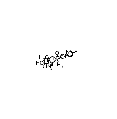 C[C@H]1CN(C(=O)C2(C)CN(c3ccc(F)cn3)C2)Cc2cnc(C(C)(O)C(F)(F)F)n21